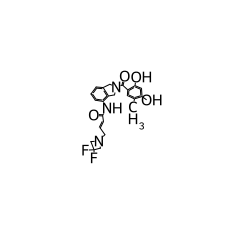 Cc1cc(C(=O)N2Cc3cccc(NC(=O)/C=C/CN4CC(F)(F)C4)c3C2)c(O)cc1O